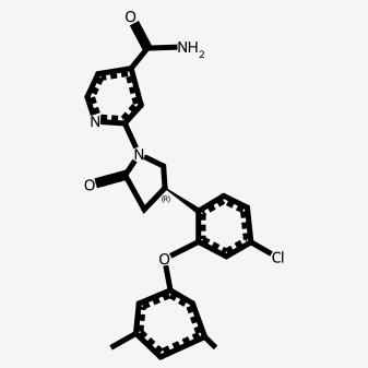 Cc1cc(C)cc(Oc2cc(Cl)ccc2[C@H]2CC(=O)N(c3cc(C(N)=O)ccn3)C2)c1